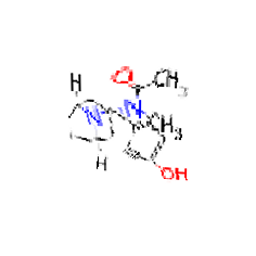 CC(=O)N(C)[C@@H]1C[C@H]2CC[C@@H](C1)N2Cc1ccc(O)cc1